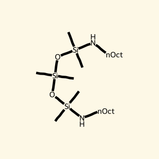 CCCCCCCCN[Si](C)(C)O[Si](C)(C)O[Si](C)(C)NCCCCCCCC